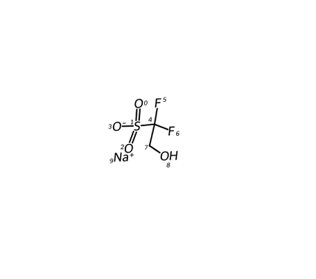 O=S(=O)([O-])C(F)(F)CO.[Na+]